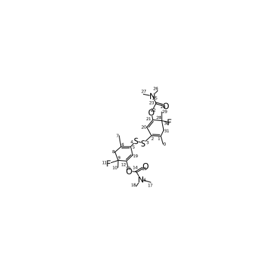 CC1=C(SSC2=C(C)CC(C)(F)C(OC(=O)N(C)C)=C2)C=C(OC(=O)N(C)C)C(C)(F)C1